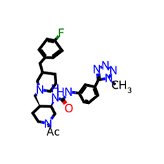 CC(=O)N1CC[C@@H](CN2CCCC(Cc3ccc(F)cc3)C2)[C@@H](NC(=O)Nc2cccc(-c3nnnn3C)c2)C1